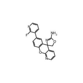 NC1=NC2(CO1)c1cc(-c3cccnc3F)ccc1Oc1ncccc12